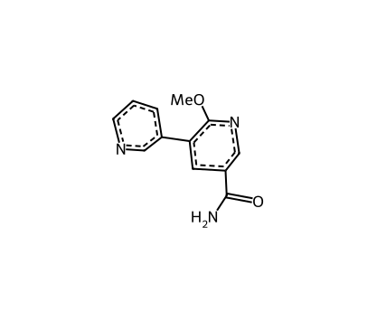 COc1ncc(C(N)=O)cc1-c1cccnc1